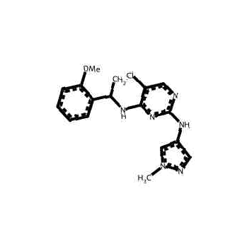 [CH2][C](Nc1nc(Nc2cnn(C)c2)ncc1Cl)c1ccccc1OC